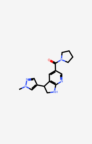 Cn1cc(C2CNc3ncc(C(=O)N4CCCC4)cc32)cn1